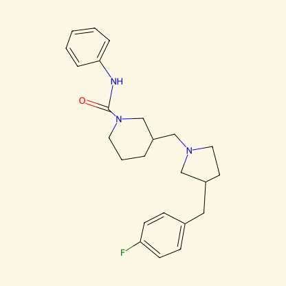 O=C(Nc1ccccc1)N1CCCC(CN2CCC(Cc3ccc(F)cc3)C2)C1